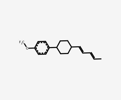 CC=CC=CC1CCC(c2ccc(OC(F)(F)F)cc2)CC1